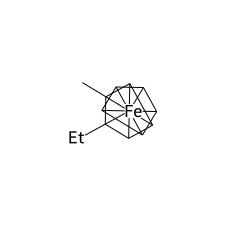 CC[C]12[CH]3[CH]4[CH]5[C]1(C)[Fe]45321678[CH]2[CH]1[CH]6[CH]7[CH]28